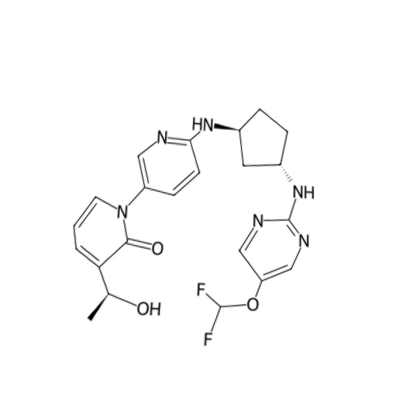 C[C@H](O)c1cccn(-c2ccc(N[C@H]3CC[C@H](Nc4ncc(OC(F)F)cn4)C3)nc2)c1=O